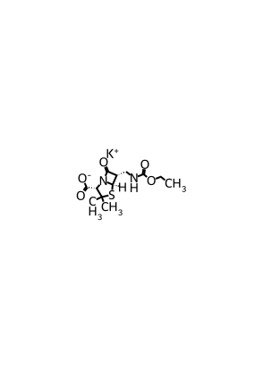 CCOC(=O)NC[C@H]1C(=O)N2[C@@H]1SC(C)(C)[C@@H]2C(=O)[O-].[K+]